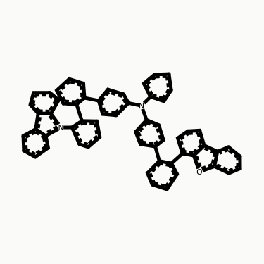 c1ccc(N(c2ccc(-c3ccccc3-c3ccccc3-n3c4ccccc4c4ccccc43)cc2)c2ccc(-c3ccccc3-c3cccc4c3oc3ccccc34)cc2)cc1